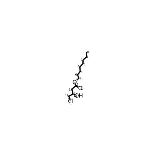 CCCCCCCCOC(=O)C[C@H](O)CCl